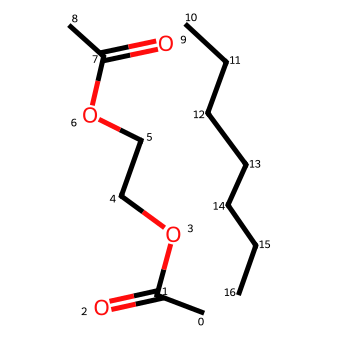 CC(=O)OCCOC(C)=O.CCCCCCC